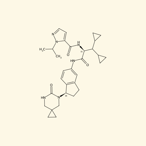 CC(C)n1nccc1C(=O)N[C@H](C(=O)Nc1ccc2c(c1)CC[C@H]2N1CC2(CC2)CNC1=O)C(C1CC1)C1CC1